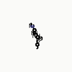 C=C/N=C\C(=C/C)c1ccc2c(c1)nc(N)n2Cc1ccc(OCc2ccc(CC)cc2)c(OC)c1